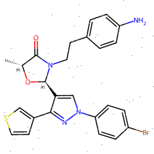 C[C@H]1O[C@H](c2cn(-c3ccc(Br)cc3)nc2-c2ccsc2)N(CCc2ccc(N)cc2)C1=O